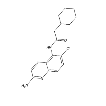 Nc1ccc2c(NC(=O)CC3CCCCC3)c(Cl)ccc2n1